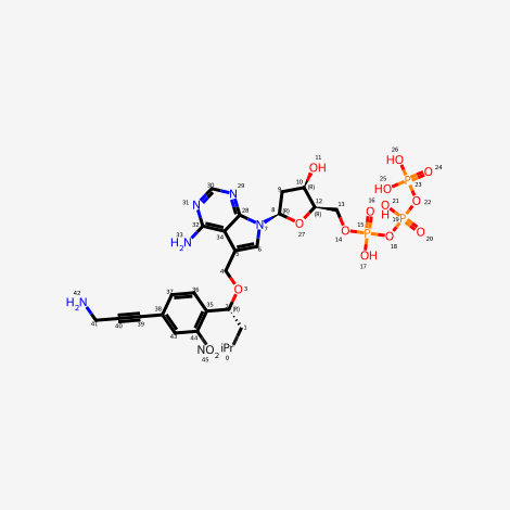 CC(C)C[C@@H](OCc1cn([C@H]2C[C@@H](O)[C@@H](COP(=O)(O)OP(=O)(O)OP(=O)(O)O)O2)c2ncnc(N)c12)c1ccc(C#CCN)cc1[N+](=O)[O-]